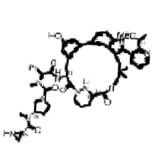 CCn1c(-c2cccnc2[C@H](C)OC)c2c3cc(ccc31)-c1cc(O)cc(c1)C[C@H](NC(=O)C(C(C)C)N(C)C(=O)N1CC[C@H](N(C)C(=O)[C@@H]3CN3)C1)C(=O)N1CCC[C@H](N1)C(=O)OCC(C)(C)C2